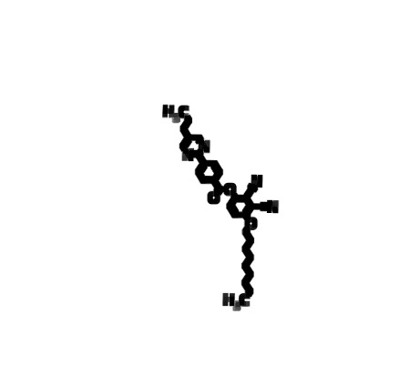 CCCCCCCCCOc1ccc(OC(=O)c2ccc(-c3ncc(CCC)cn3)cc2)c(C#N)c1C#N